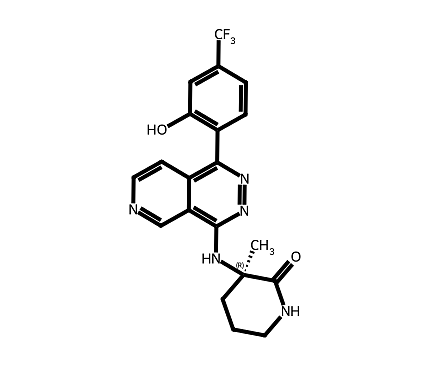 C[C@@]1(Nc2nnc(-c3ccc(C(F)(F)F)cc3O)c3ccncc23)CCCNC1=O